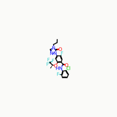 CCCn1cnn(-c2cc(O[C@@H](C)C(F)(F)F)c(C(=O)Nc3c(F)cccc3Cl)cc2F)c1=O